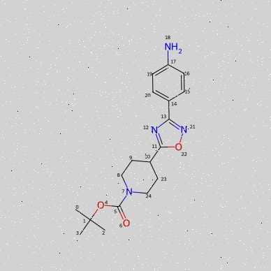 CC(C)(C)OC(=O)N1CCC(c2nc(-c3ccc(N)cc3)no2)CC1